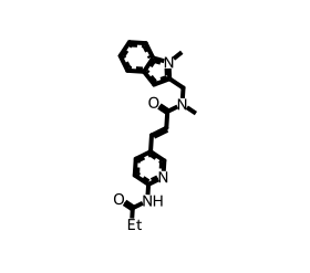 CCC(=O)Nc1ccc(/C=C/C(=O)N(C)Cc2cc3ccccc3n2C)cn1